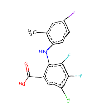 Cc1cc(I)ccc1Nc1c(C(=O)O)cc(Cl)c(F)c1F